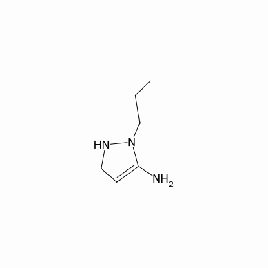 CCCN1NCC=C1N